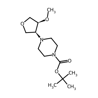 CO[C@@H]1COC[C@@H]1N1CCN(C(=O)OC(C)(C)C)CC1